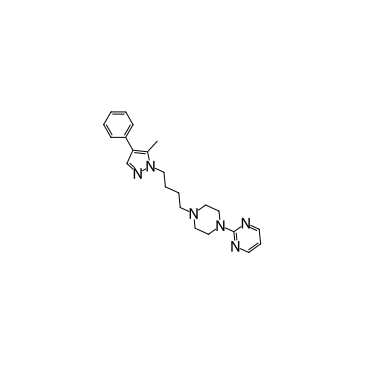 Cc1c(-c2ccccc2)cnn1CCCCN1CCN(c2ncccn2)CC1